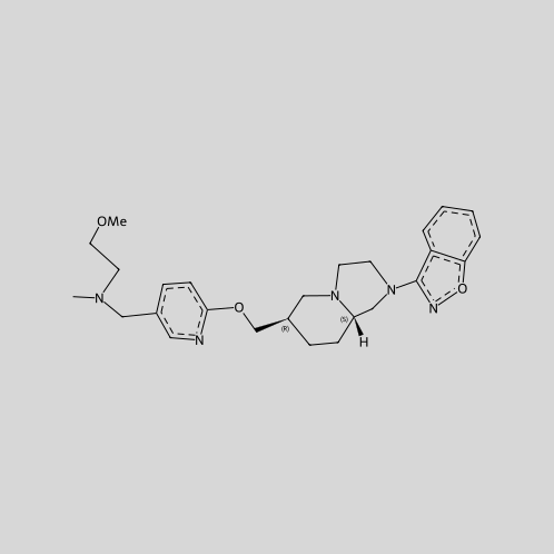 COCCN(C)Cc1ccc(OC[C@@H]2CC[C@H]3CN(c4noc5ccccc45)CCN3C2)nc1